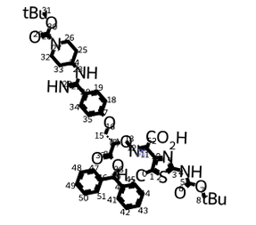 Cc1sc(NC(=O)OC(C)(C)C)nc1/C(=N/O[C@@H](COc1ccc(C(=N)NC2CCN(C(=O)OC(C)(C)C)CC2)cc1)C(=O)OC(c1ccccc1)c1ccccc1)C(=O)O